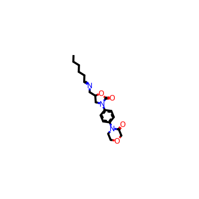 CCCCCC=NCC1CN(c2ccc(N3CCOCC3=O)cc2)C(=O)O1